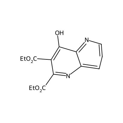 CCOC(=O)c1nc2cccnc2c(O)c1C(=O)OCC